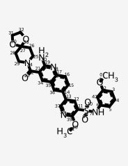 COc1cccc(NS(=O)(=O)c2cc(-c3ccc4nc(N)c(C(=O)N5CCC6(CC5)OCCO6)cc4c3)cnc2OC)c1